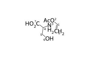 C=COC(C)=O.NC(CO)C(=O)O